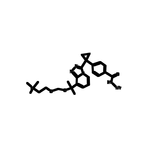 CCCNC(=O)c1ccc(C2(c3nnc4c(C(C)(C)OCOCC[Si](C)(C)C)cccn34)CC2)cc1